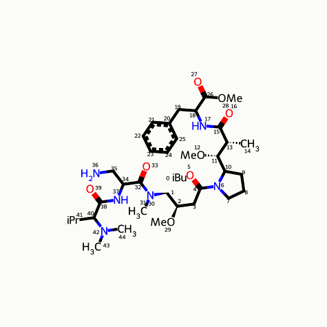 CC[C@H](C)[C@@H]([C@@H](CC(=O)N1CCCC1[C@H](OC)[C@@H](C)C(=O)NC(Cc1ccccc1)C(=O)OC)OC)N(C)C(=O)C(CN)NC(=O)C(C(C)C)N(C)C